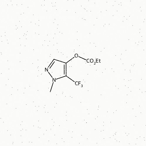 CCOC(=O)Oc1cnn(C)c1C(F)(F)F